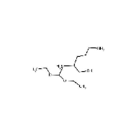 CCOC(OCC)[SiH2]C(CO)CCCN